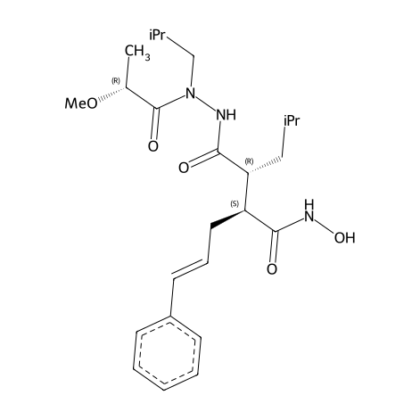 CO[C@H](C)C(=O)N(CC(C)C)NC(=O)[C@H](CC(C)C)[C@H](CC=Cc1ccccc1)C(=O)NO